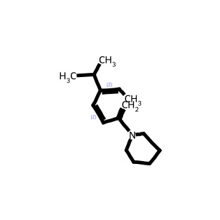 C=C(/C=C\C(=C/C)C(C)C)N1CCCCC1